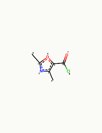 Cc1nc(C)c(C(=O)Cl)o1